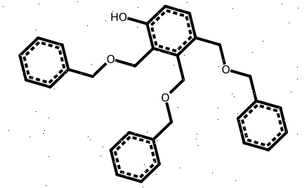 Oc1ccc(COCc2ccccc2)c(COCc2ccccc2)c1COCc1ccccc1